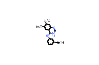 C#Cc1cccc(NC2NC=Nc3cc(OC(C)=O)c(OC(C)=O)cc32)c1